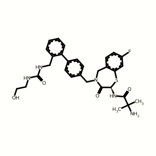 CC(C)(N)C(=O)N[C@@H]1Sc2cc(F)ccc2CN(Cc2ccc(-c3ccccc3CNC(=O)NCCO)cc2)C1=O